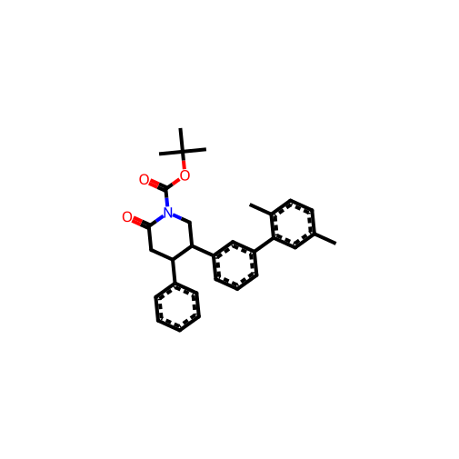 Cc1ccc(C)c(-c2cccc(C3CN(C(=O)OC(C)(C)C)C(=O)CC3c3ccccc3)c2)c1